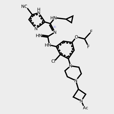 CC(=O)N1CC(N2CCN(c3cc(OC(F)F)cc(NC(=N)/N=C(/NC4CC4)c4ncc(C#N)[nH]4)c3Cl)CC2)C1